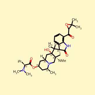 CN[C@]12CN3[C@H](C[C@H](OC(=O)[C@H](C(C)C)N(C)C)C[C@@H]3C)C[C@]1(O)C(C)(C)[C@]1(C2)C(=O)Nc2c(C(=O)C3OC3(C)C)cccc21